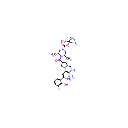 CC1CN(C(=O)OC(C)(C)C)CC(C)N1C(=O)C1CC2CNC(N)=C(/C=C(\N)c3cccc(F)c3O)N2C1